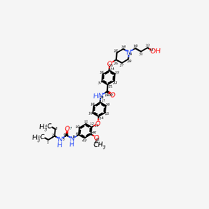 CCC(CC)NC(=O)Nc1ccc(Oc2ccc(NC(=O)c3ccc(OC4CCN(CCCO)CC4)cc3)cc2)c(OC)c1